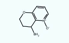 BC1CCOc2ccc[n+]([O-])c21